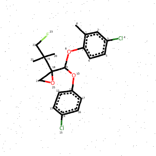 Cc1cc(Cl)ccc1OC(Oc1ccc(Cl)cc1)C1(C(C)(C)CF)CO1